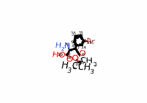 CC(C)(C)OC(=O)C(c1cccc(Br)c1)[C@H](N)C(=O)O